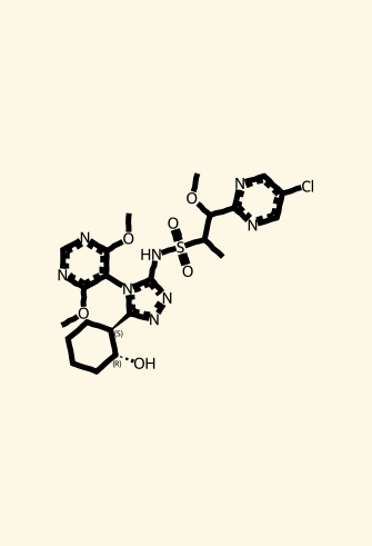 COc1ncnc(OC)c1-n1c(NS(=O)(=O)C(C)C(OC)c2ncc(Cl)cn2)nnc1[C@@H]1CCCC[C@H]1O